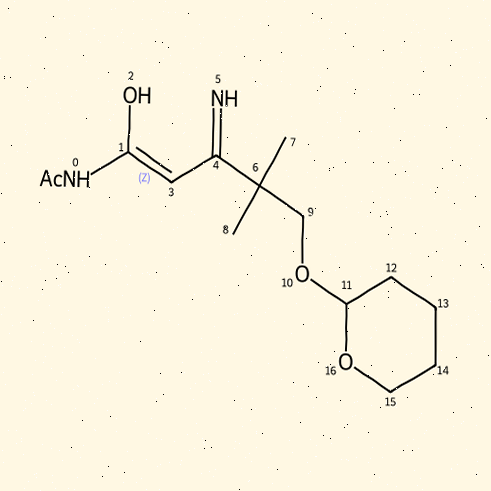 CC(=O)N/C(O)=C/C(=N)C(C)(C)COC1CCCCO1